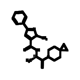 C[C@H](NC(=O)c1cc(-c2ccccc2)nn1C)C(=O)N1CCC2(CC1)CC2